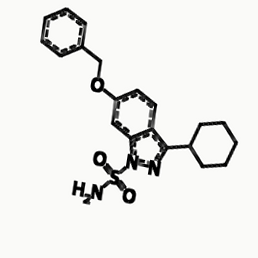 NS(=O)(=O)n1nc(C2CCCCC2)c2ccc(OCc3ccccc3)cc21